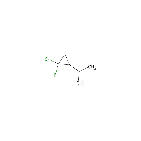 CC(C)C1CC1(F)Cl